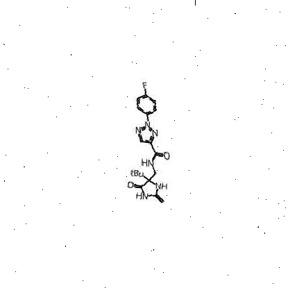 C=C1NC(=O)C(CNC(=O)c2cnn(-c3ccc(F)cc3)n2)(C(C)(C)C)N1